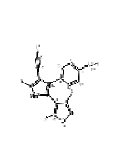 CC#Cc1c(C)[nH]c(-c2c(C)noc2C)c1-c1ccc(O)cc1